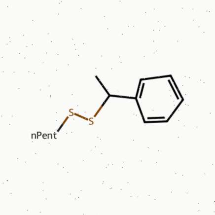 CCCCCSSC(C)c1ccccc1